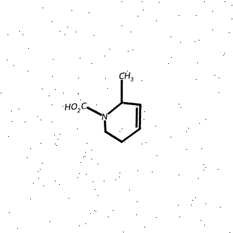 CC1C=CCCN1C(=O)O